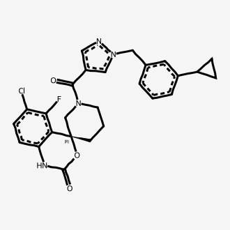 O=C1Nc2ccc(Cl)c(F)c2[C@@]2(CCCN(C(=O)c3cnn(Cc4cccc(C5CC5)c4)c3)C2)O1